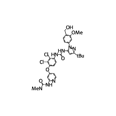 CNC(=O)Nc1cc(Oc2ccc(NC(=O)Nc3cc(C(C)(C)C)nn3-c3ccc(CO)c(OC)c3)c(Cl)c2Cl)ccn1